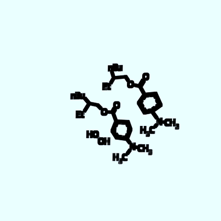 CCCCC(CC)COC(=O)c1ccc(N(C)C)cc1.CCCCC(CC)COC(=O)c1ccc(N(C)C)cc1.OO